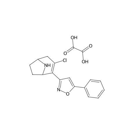 ClC1=C(c2cc(-c3ccccc3)on2)C2CCC(C1)N2.O=C(O)C(=O)O